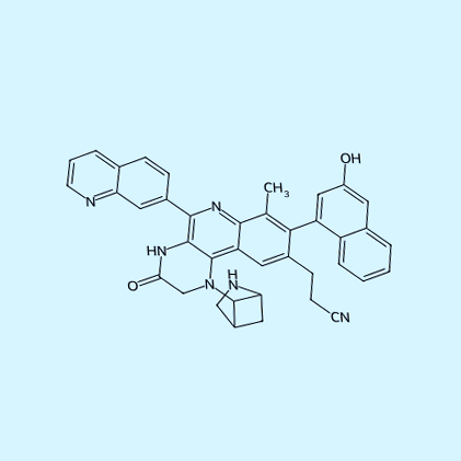 Cc1c(-c2cc(O)cc3ccccc23)c(CCC#N)cc2c3c(c(-c4ccc5cccnc5c4)nc12)NC(=O)CN3C1C2CNC1C2